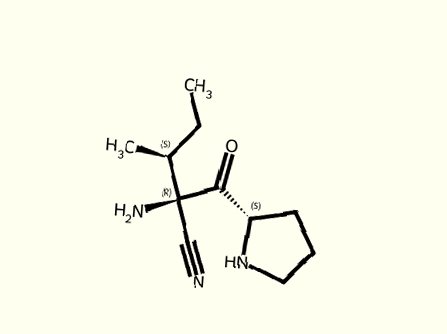 CC[C@H](C)[C@@](N)(C#N)C(=O)[C@@H]1CCCN1